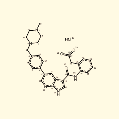 CN1CCN(Cc2ccc(-c3cnc4[nH]cc(C(=O)Nc5ccccc5C[SH](=O)=O)c4c3)cc2)CC1.Cl